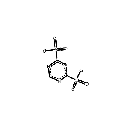 O=S(=O)(Cl)c1ncnc(S(=O)(=O)Cl)n1